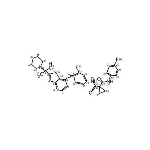 CC(C)(c1cc2nccc(Oc3ccc(NC(=O)C4(C(=O)Nc5ccc(F)cc5)CC4)cc3F)c2s1)N1CCCCC1